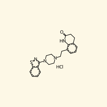 Cl.O=C1CCc2cccc(CCN3CCN(c4nsc5ccccc45)CC3)c2N1